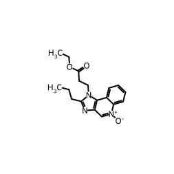 CCCc1nc2c[n+]([O-])c3ccccc3c2n1CCC(=O)OCC